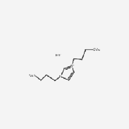 CSCCCn1cc[n+](CCCSC)c1.[OH-]